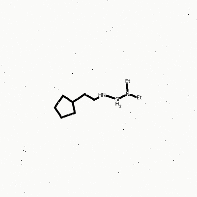 CCN(CC)[SiH2]NCCC1CCCC1